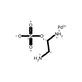 NCCN.O=S(=O)([O-])[O-].[Pd+2]